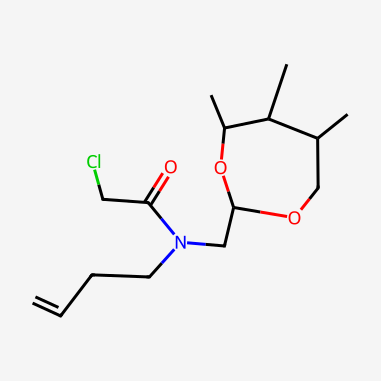 C=CCCN(CC1OCC(C)C(C)C(C)O1)C(=O)CCl